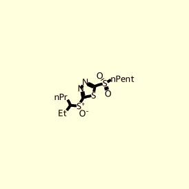 CCCCCS(=O)(=O)c1nnc([S+]([O-])C(CC)CCC)s1